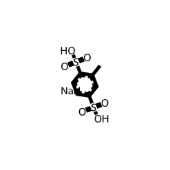 Cc1cc(S(=O)(=O)O)ccc1S(=O)(=O)O.[NaH]